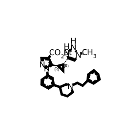 CCOC(=O)c1cnn(-c2cccc(C3CCCN(CCc4ccccc4)C3)c2)c1[C@@H]1C[C@H]1C1=CN(C)NN1